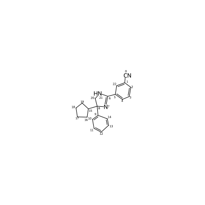 N#Cc1cccc(C2=NC(c3ccccc3)(C3CCCC3)CN2)c1